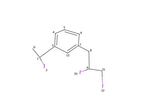 CC(I)c1cccc(CC(I)CI)c1